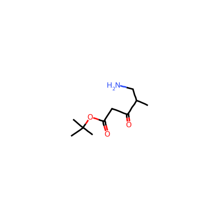 CC(CN)C(=O)CC(=O)OC(C)(C)C